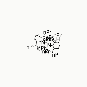 CCCC(CCC)c1cccc(C(CCC)CCC)c1N1C(Cl)=C(Cl)N(c2c(C(CCC)CCC)cccc2C(CCC)CCC)C1C(=O)O